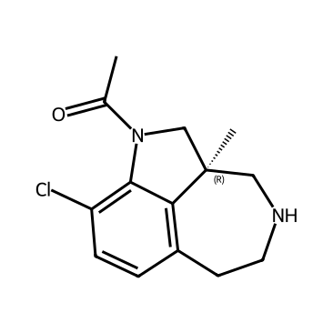 CC(=O)N1C[C@@]2(C)CNCCc3ccc(Cl)c1c32